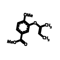 CC=C(C)Oc1cc(C(=O)OC)ccc1OC